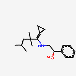 CC(C)CC(C)(C)C(NC[C@H](O)c1ccccc1)=C1CC1